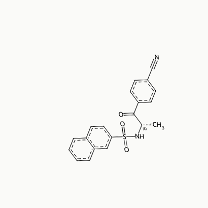 C[C@H](NS(=O)(=O)c1ccc2ccccc2c1)C(=O)c1ccc(C#N)cc1